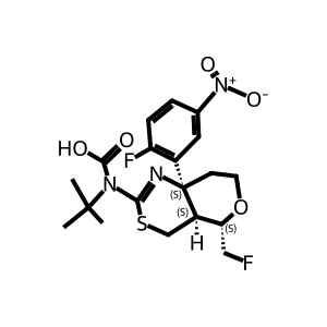 CC(C)(C)N(C(=O)O)C1=N[C@@]2(c3cc([N+](=O)[O-])ccc3F)CCO[C@H](CF)[C@H]2CS1